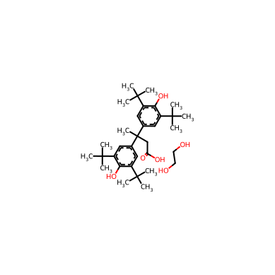 CC(C)(C)c1cc(C(C)(CC(=O)O)c2cc(C(C)(C)C)c(O)c(C(C)(C)C)c2)cc(C(C)(C)C)c1O.OCCO